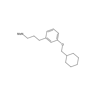 CNCCCc1cccc(OCC2CCCCC2)c1